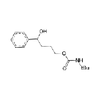 CC(C)(C)NC(=O)OCCCC(O)c1ccccc1